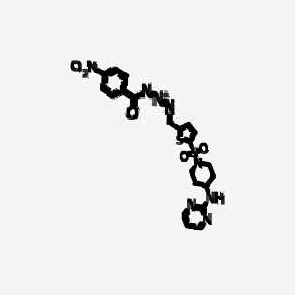 O=C(N=[N+]=NCc1ccc(S(=O)(=O)N2CCC(Nc3ncccn3)CC2)s1)c1ccc([N+](=O)[O-])cc1